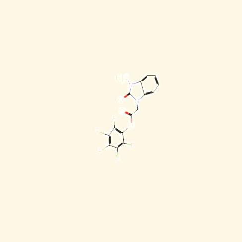 Cn1c(=O)n(CC(=O)Oc2c(F)c(F)c(F)c(F)c2F)c2ccccc21